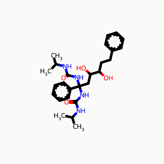 CC(C)NC(=O)NC(CC(O)C(O)CCc1ccccc1)(NC(=O)NC(C)C)c1ccccc1